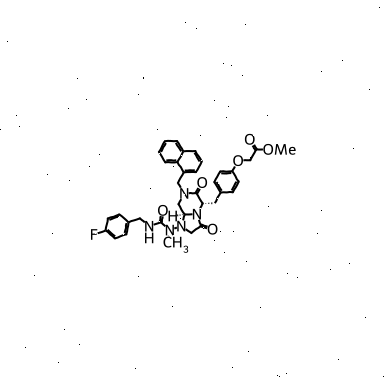 COC(=O)COc1ccc(C[C@H]2C(=O)N(Cc3cccc4ccccc34)C[C@H]3N2C(=O)CN3N(C)C(=O)NCc2ccc(F)cc2)cc1